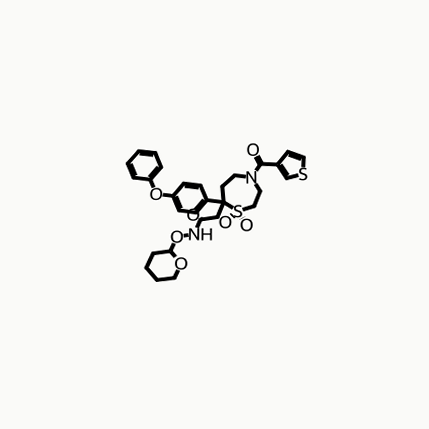 O=C(CC1(c2ccc(Oc3ccccc3)cc2)CCN(C(=O)c2ccsc2)CCS1(=O)=O)NOC1CCCCO1